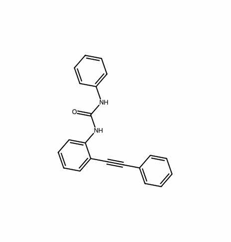 O=C(Nc1ccccc1)Nc1ccccc1C#Cc1ccccc1